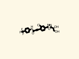 O=C(C#Cc1ccc(-c2nnc([C@H](O)CO)o2)cc1Cl)Nc1ccc(C(F)(F)F)cc1